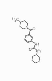 CC1CCN(C(=O)c2cccc(NC(=O)NC3CCCCC3)c2)CC1